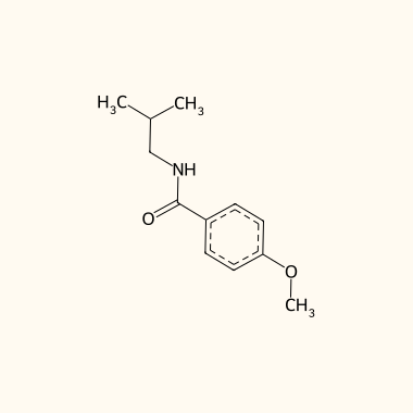 COc1ccc(C(=O)NCC(C)C)cc1